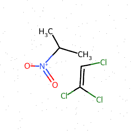 CC(C)[N+](=O)[O-].ClC=C(Cl)Cl